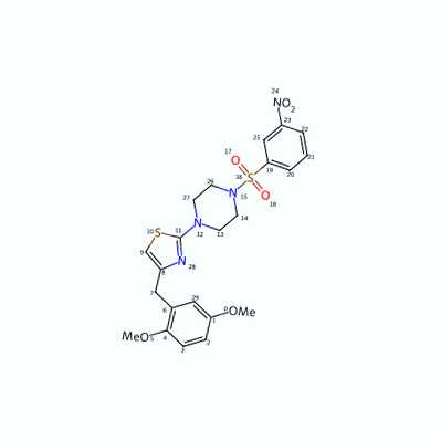 COc1ccc(OC)c(Cc2csc(N3CCN(S(=O)(=O)c4cccc([N+](=O)[O-])c4)CC3)n2)c1